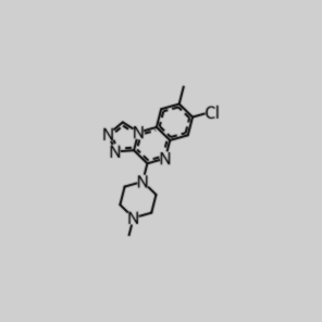 Cc1cc2c(cc1Cl)nc(N1CCN(C)CC1)c1nncn12